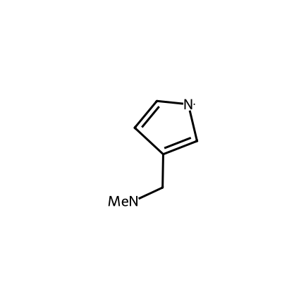 CNCC1=C[N]C=C1